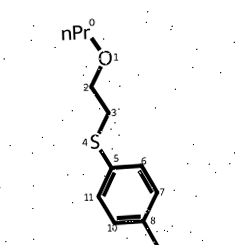 CCCOCCSc1ccc(C)cc1